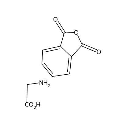 NCC(=O)O.O=C1OC(=O)c2ccccc21